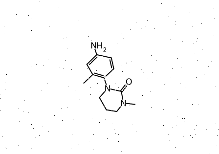 Cc1cc(N)ccc1N1CCCN(C)C1=O